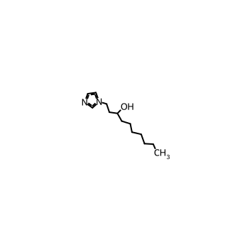 CCCCCCCC(O)CCn1ccnc1